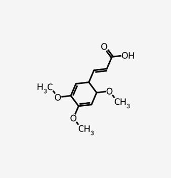 COC1=CC(C=CC(=O)O)C(OC)C=C1OC